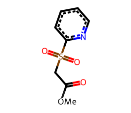 COC(=O)CS(=O)(=O)c1ccccn1